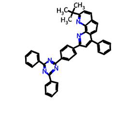 CC(C)(C)c1ccc2ccc3c(-c4ccccc4)cc(-c4ccc(-c5nc(-c6ccccc6)nc(-c6ccccc6)n5)cc4)nc3c2n1